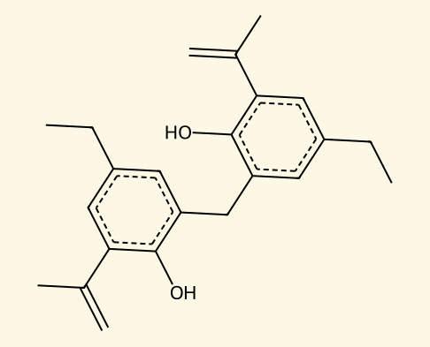 C=C(C)c1cc(CC)cc(Cc2cc(CC)cc(C(=C)C)c2O)c1O